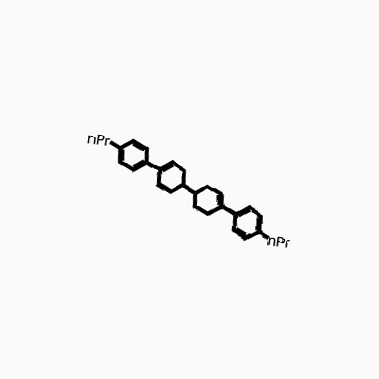 CCCc1ccc(C2=CCC(C3CC=C(c4ccc(CCC)cc4)CC3)CC2)cc1